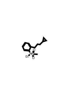 CCN(c1ccccc1CCCC1CC1)S(C)(=O)=O